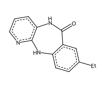 CCc1ccc2c(c1)C(=O)Nc1cccnc1N2